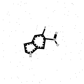 O=[N+]([O-])c1cc2[nH]ccc2cc1F